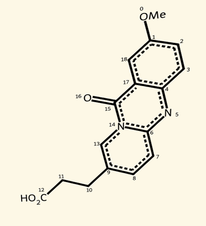 COc1ccc2nc3ccc(CCC(=O)O)cn3c(=O)c2c1